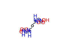 COC(=O)N[C@H](C(=O)N1CCCC1c1nc(/C=C/c2ccc(C=Cc3c[nH]c([C@@H]4CCCN4C(=O)[C@H](C(C)C)N(C)C(=O)O)n3)cc2)c[nH]1)C(C)C